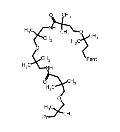 CCCC(C)CCC(C)(C)OCCC(C)(C)C(=O)NCC(C)(C)COCC(C)(C)CNC(=O)CC(C)(C)COCC(C)(C)CC(C)C